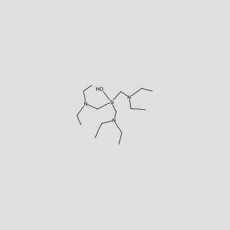 CCN(CC)C[Si](O)(CN(CC)CC)CN(CC)CC